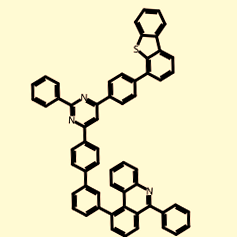 c1ccc(-c2nc(-c3ccc(-c4cccc(-c5cccc6c(-c7ccccc7)nc7ccccc7c56)c4)cc3)cc(-c3ccc(-c4cccc5c4sc4ccccc45)cc3)n2)cc1